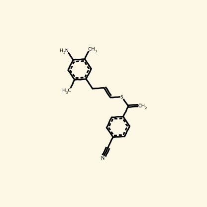 C=C(S/C=C/Cc1cc(C)c(N)cc1C)c1ccc(C#N)cc1